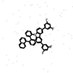 Fc1cc(F)cc(-c2ccc3c(c2)c2cc(-c4cc(F)cc(F)c4)ccc2n3-c2ccccc2-c2ccccc2-c2cccc3ccccc23)c1